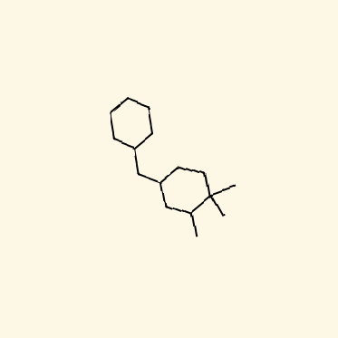 CC1CC(CC2CCCCC2)CCC1(C)C